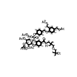 CCC(C)(C)COCC(C)(C)CNC(=O)c1ccc(O[C@H]2O[C@@H](COC(C)=O)[C@@H](OC(C)=O)[C@@H](OC(C)O)[C@@H]2OC(C)=O)c(OS(=O)(=O)Oc2ccc(COc3ccc(CSC(C)=O)cc3CSC(C)=O)cc2)c1